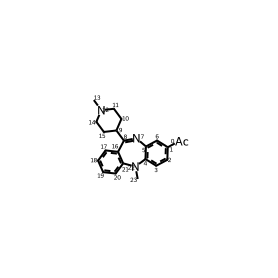 CC(=O)c1ccc2c(c1)N=C(C1CCN(C)CC1)c1ccccc1N2C